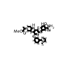 COC(=O)C(C)N1CCC(Nc2c(F)c(Oc3cccc(C4=NCCN4C)c3)nc(Oc3ccc(O)c(C(=N)N)c3)c2F)CC1